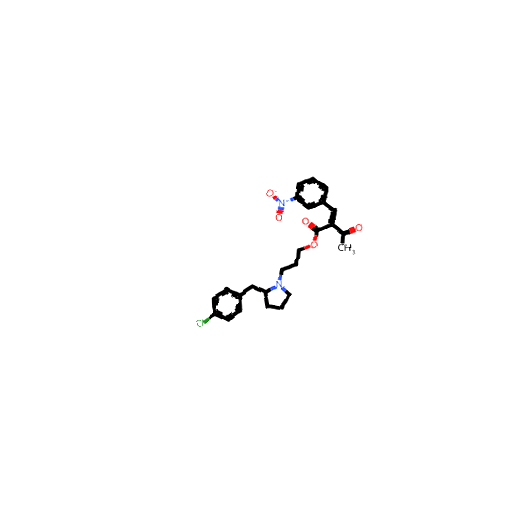 CC(=O)C(=Cc1cccc([N+](=O)[O-])c1)C(=O)OCCCN1CCCC1Cc1ccc(Cl)cc1